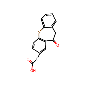 O=C(O)Cc1ccc2c(c1)C(=O)Cc1ccccc1S2